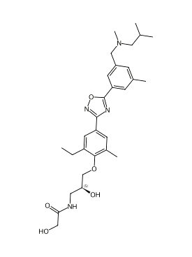 CCc1cc(-c2noc(-c3cc(C)cc(CN(C)CC(C)C)c3)n2)cc(C)c1OC[C@@H](O)CNC(=O)CO